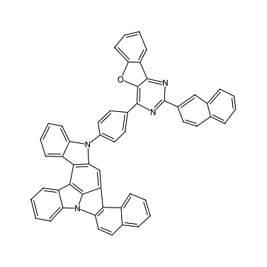 c1ccc2cc(-c3nc(-c4ccc(-n5c6ccccc6c6c7c8ccccc8n8c9ccc%10ccccc%10c9c(cc65)c78)cc4)c4oc5ccccc5c4n3)ccc2c1